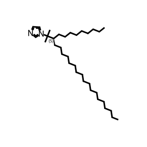 CCCCCCCCCCCCCCCCCC[C@H](CCCCCCCCC)C(C)(C)n1ccnc1